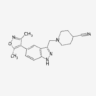 Cc1noc(C)c1-c1ccc2[nH]nc(CN3CCC(C#N)CC3)c2c1